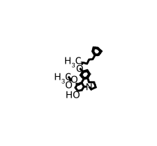 CC(=O)OC1=C2c3cc(O[C@H](C)CCCc4ccccc4)ccc3C3CCCN3C2CC(O)C1